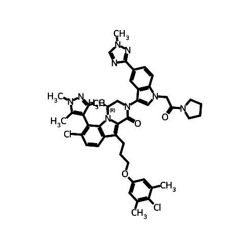 Cc1cc(OCCCc2c3n(c4c(-c5c(C)nn(C)c5C)c(Cl)ccc24)[C@H](C)CN(c2cn(CC(=O)N4CCCC4)c4ccc(-c5ncn(C)n5)cc24)C3=O)cc(C)c1Cl